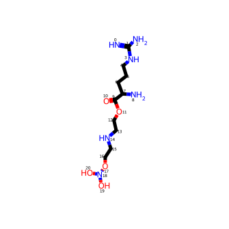 N=C(N)NCCCC(N)C(=O)OCCNCCON(O)O